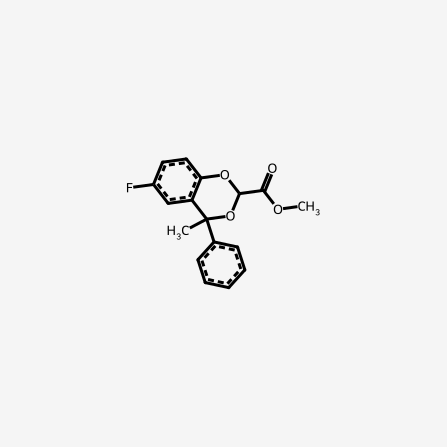 COC(=O)C1Oc2ccc(F)cc2C(C)(c2ccccc2)O1